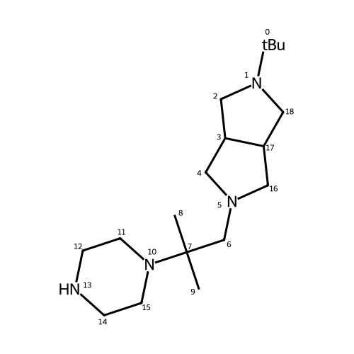 CC(C)(C)N1CC2CN(CC(C)(C)N3CCNCC3)CC2C1